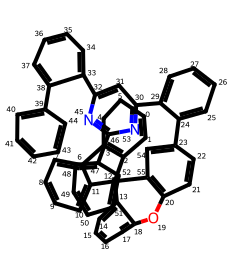 C1=CC2=C(CC1)c1ccccc1C21c2ccccc2Oc2ccc(-c3ccccc3-c3cc(-c4ccccc4-c4ccccc4)nc(-c4ccccc4)n3)cc21